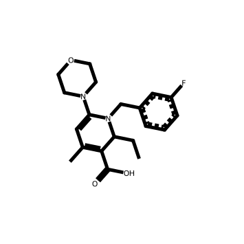 CCC1C(C(=O)O)=C(C)C=C(N2CCOCC2)N1Cc1cccc(F)c1